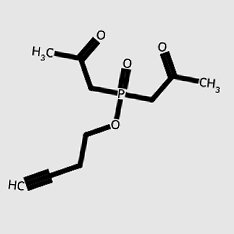 C#CCCOP(=O)(CC(C)=O)CC(C)=O